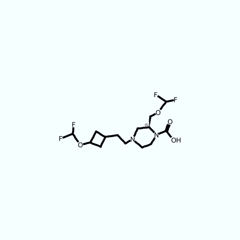 O=C(O)N1CCN(CCC2CC(OC(F)F)C2)C[C@H]1COC(F)F